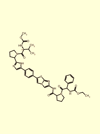 CCOC(=O)NC(C(=O)N1CCCC1C(=O)Nc1cn2cc(-c3ccc(-c4cnc(C5CCCN5C(=O)[C@@H](NC(=O)OC)C(C)C)[nH]4)cc3)sc2n1)c1ccccc1